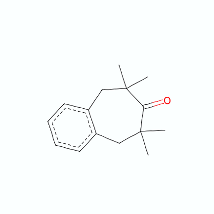 CC1(C)Cc2ccccc2CC(C)(C)C1=O